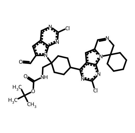 CC(C)(C)OC(=O)NCC1(n2c(C=O)cc3cnc(Cl)nc32)CCC(c2nc(Cl)nc3c2cc2n3C3(CCCCC3)CN=C2)CC1